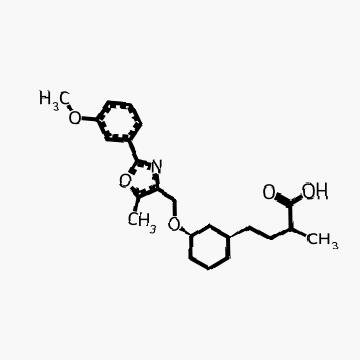 COc1cccc(-c2nc(CO[C@@H]3CCC[C@H](CCC(C)C(=O)O)C3)c(C)o2)c1